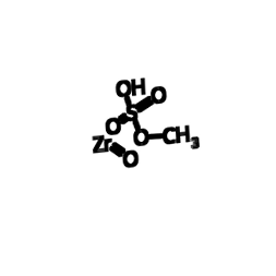 COS(=O)(=O)O.[O]=[Zr]